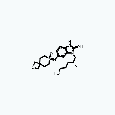 C[C@H](CCCO)Cn1c(=N)[nH]c2ccc(N=S3(=O)CCC4(CC3)COC4)cc21